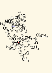 COC(=O)CC1C2(C)CC34OC5(C)OC67C(/C(=C(/O)C(C)C)C(=O)OC6C3(O)C2OC(C)=O)C(C)(C(OC(C)=O)c2ccoc2)CCC7(O5)C14C